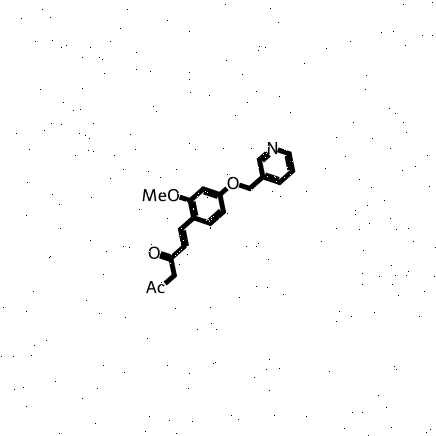 COc1cc(OCc2cccnc2)ccc1/C=C/C(=O)CC(C)=O